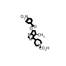 C[C@@H]1C[C@@H](OC(=O)c2ccc([N+](=O)[O-])cc2)c2ncnc(C3CCCN(C(=O)O)CC3)c21